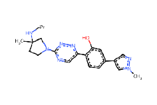 CC(C)NC1(C)CCN(c2ncc(-c3ccc(-c4cnn(C)c4)cc3O)nn2)C1